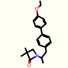 CCOc1ccc(-c2ccc(CC(C)N3CC(C)(C)C3=O)cc2)cc1